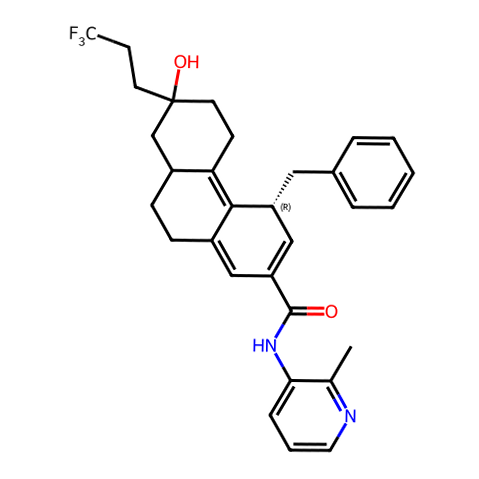 Cc1ncccc1NC(=O)C1=C[C@@H](Cc2ccccc2)C2=C3CCC(O)(CCC(F)(F)F)CC3CCC2=C1